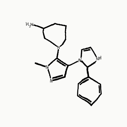 Cn1ncc(N2C=CNC2c2ccccc2)c1N1CCCC(N)C1